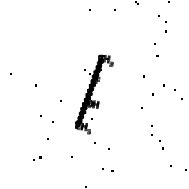 CCCCCCCCCCC(O)CCCCCCCCC[C](F)CCCCCCCCC